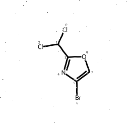 ClC(Cl)c1nc(Br)co1